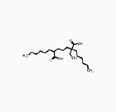 CCCCCCC(CCCC(CO)(CCCCCC)C(=O)O)C(=O)O